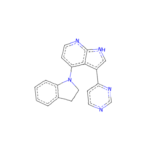 c1ccc2c(c1)CCN2c1ccnc2[nH]cc(-c3ccncn3)c12